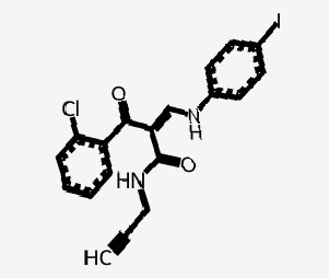 C#CCNC(=O)C(=CNc1ccc(I)cc1)C(=O)c1ccccc1Cl